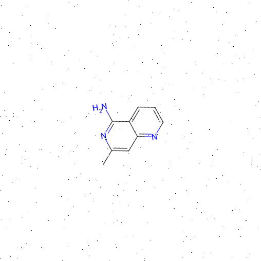 Cc1cc2ncccc2c(N)n1